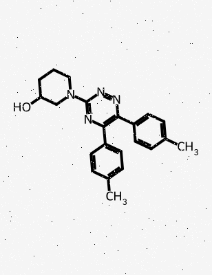 Cc1ccc(-c2nnc(N3CCCC(O)C3)nc2-c2ccc(C)cc2)cc1